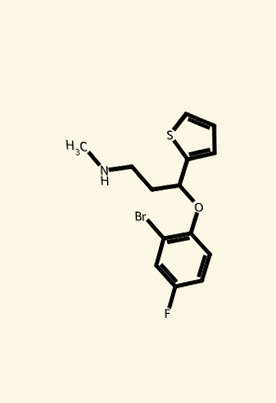 CNCCC(Oc1ccc(F)cc1Br)c1cccs1